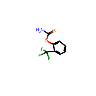 NC(=S)Oc1ccccc1C(F)(F)F